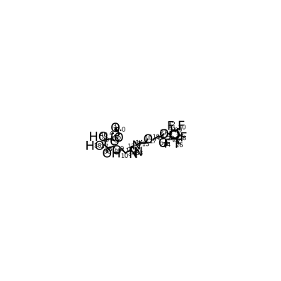 CS(=O)(=O)C[C@H]1O[C@H](OCCc2cn(CCOCCC(=O)Oc3c(F)c(F)c(F)c(F)c3F)nn2)[C@@H](O)[C@@H](O)[C@@H]1O